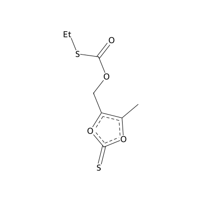 CCSC(=O)OCc1oc(=S)oc1C